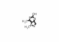 Cc1nc(O)nc2cnn(C)c12